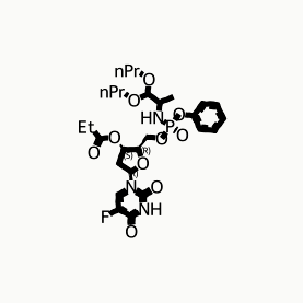 CCCOC(OCCC)C(C)NP(=O)(OC[C@H]1O[C@@H](n2cc(F)c(=O)[nH]c2=O)C[C@@H]1OC(=O)CC)Oc1ccccc1